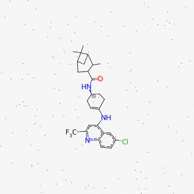 CC1C(C(=O)N[C@@H]2CC=C(Nc3cc(C(F)(F)F)nc4ccc(Cl)cc34)CC2)CC2CC1C2(C)C